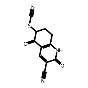 N#CSC1CCc2[nH]c(=O)c(C#N)cc2C1=O